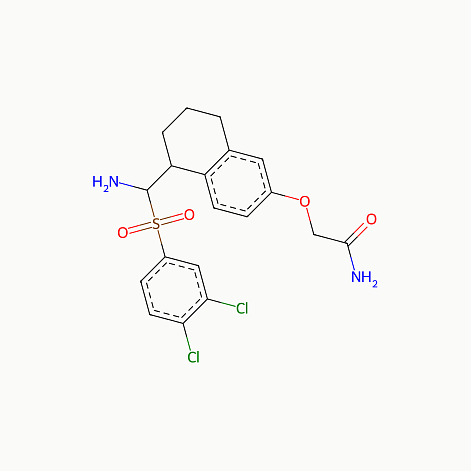 NC(=O)COc1ccc2c(c1)CCCC2C(N)S(=O)(=O)c1ccc(Cl)c(Cl)c1